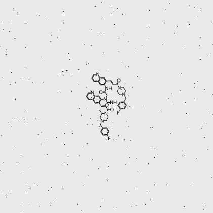 C[C@@H]1CN(Cc2ccc(F)cc2)CCN1C(=O)/C=C/c1cc2ncccc2cc1NC(=O)CN(C(N)=O)c1cc2ncccc2cc1/C=C/C(=O)N1CCN(Cc2ccc(F)cc2)C[C@H]1C